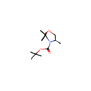 C[C@@H]1COC(C)(C)N1C(=O)OC(C)(C)C